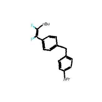 CCCC/C(F)=C(/F)c1ccc(Cc2ccc(CCC)cc2)cc1